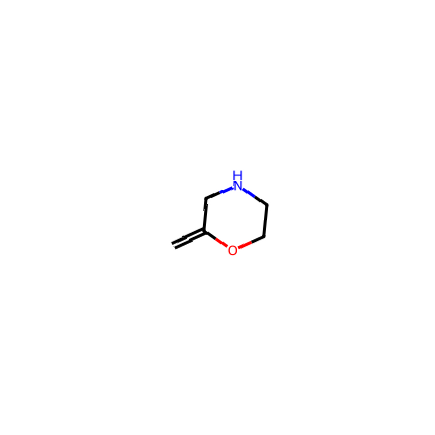 C=C1CNCCO1